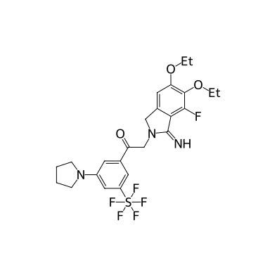 CCOc1cc2c(c(F)c1OCC)C(=N)N(CC(=O)c1cc(N3CCCC3)cc(S(F)(F)(F)(F)F)c1)C2